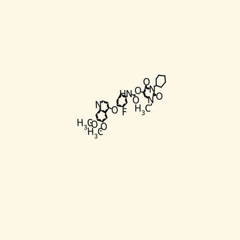 CCn1cc(OC(=O)Nc2ccc(Oc3ccnc4cc(OC)c(OC)cc34)c(F)c2)c(=O)n(C2CCCCC2)c1=O